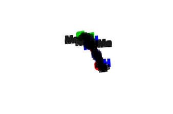 COc1cc(Nc2c(C#N)cnc3cc(OCCCN4CCN(CCCCNC(=O)c5cccc(C)c5)CC4)c(OC)cc23)c(Cl)cc1Cl